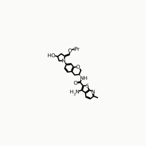 Cc1ccc2c(N)c(C(=O)N[C@H]3COc4cc(N5CC(O)C/C5=C\OC(C)C)ccc4C3)sc2n1